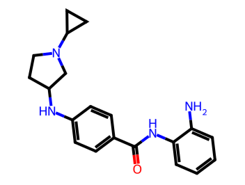 Nc1ccccc1NC(=O)c1ccc(NC2CCN(C3CC3)C2)cc1